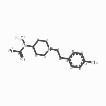 CC(C)C(=O)N(C)C1CCN(CCc2ccc(Cl)cc2)CC1